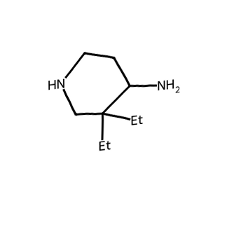 CCC1(CC)CNCCC1N